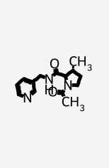 CC(=O)N1CC[C@H](C)C1C(=O)NCc1cccnc1